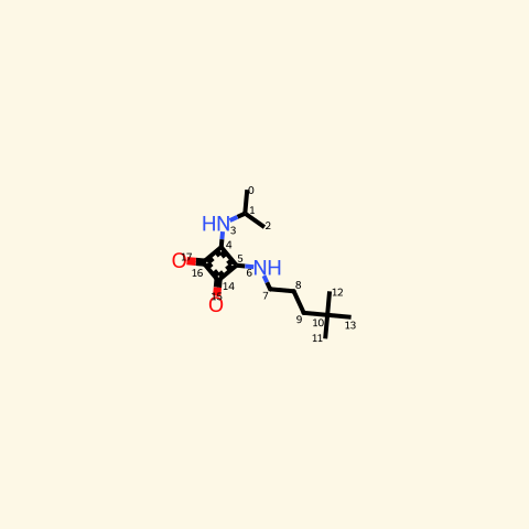 CC(C)Nc1c(NCCCC(C)(C)C)c(=O)c1=O